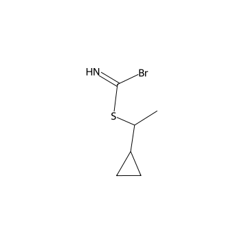 CC(SC(=N)Br)C1CC1